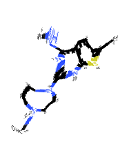 CCc1cc2c(NC(C)C)nc(N3CCN(C=O)CC3)nc2s1